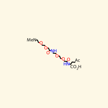 CNCCOCCOCC(=O)NCCOCCOCC(=O)N[C@@H](CCC(C)=O)C(=O)O